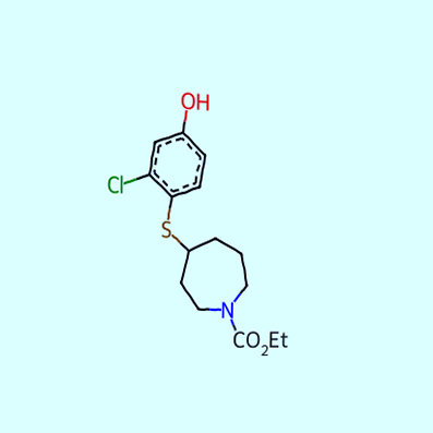 CCOC(=O)N1CCCC(Sc2ccc(O)cc2Cl)CC1